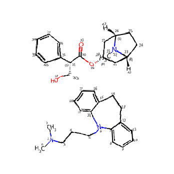 CN(C)CCCN1c2ccccc2CCc2ccccc21.CN1[C@@H]2CC[C@H]1C[C@@H](OC(=O)[C@H](CO)c1ccccc1)C2